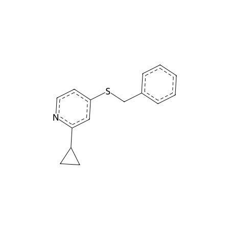 c1ccc(CSc2ccnc(C3CC3)c2)cc1